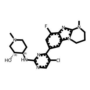 CN1CC[C@@H](Nc2ncc(Cl)c(-c3cc(F)c4nc5n(c4c3)CCCN5C)n2)[C@H](O)C1